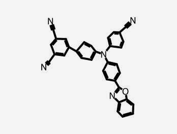 N#Cc1ccc(N(c2ccc(-c3cc(C#N)cc(C#N)c3)cc2)c2ccc(-c3nc4ccccc4o3)cc2)cc1